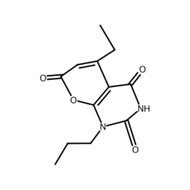 CCCn1c(=O)[nH]c(=O)c2c(CC)cc(=O)oc21